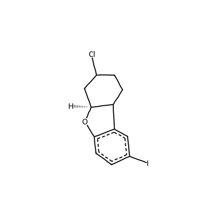 ClC1CCC2c3cc(I)ccc3O[C@H]2C1